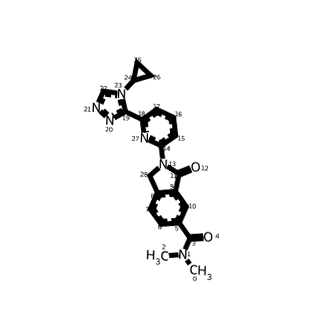 CN(C)C(=O)c1ccc2c(c1)C(=O)N(c1cccc(-c3nncn3C3CC3)n1)C2